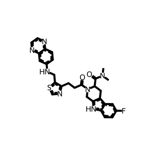 CN(C)C(=O)C1Cc2c([nH]c3ccc(F)cc23)CN1C(=O)CCc1ncsc1CNc1ccc2nccnc2c1